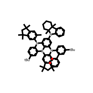 Cc1cc2c(cc1N1c3ccc(C(C)(C)C)cc3B3c4cc5c(cc4N(c4ccc(C(C)(C)C)cc4-c4ccccc4)c4cc(N6c7ccccc7C7(C)CCCCC67C)cc1c43)C(C)(C)CC5(C)C)C(C)(C)CC2(C)C